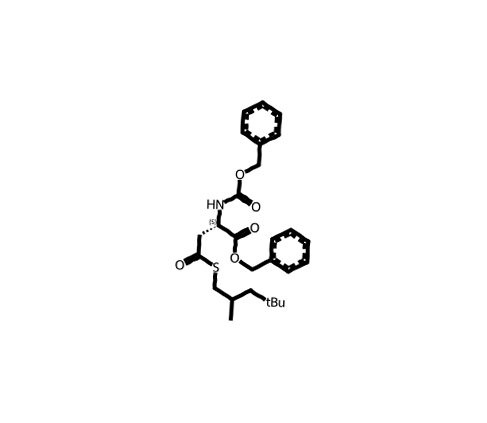 CC(CSC(=O)C[C@H](NC(=O)OCc1ccccc1)C(=O)OCc1ccccc1)CC(C)(C)C